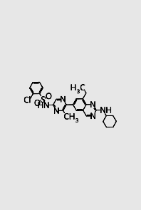 CCc1cc(-c2ncc(NS(=O)(=O)c3ccccc3Cl)nc2C)cc2cnc(NC3CCCCC3)nc12